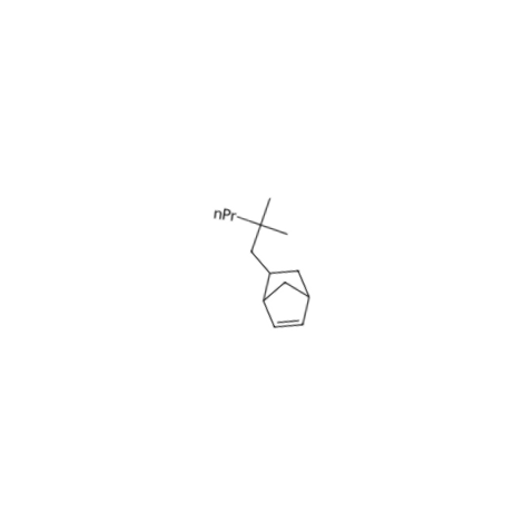 CCCC(C)(C)CC1CC2C=CC1C2